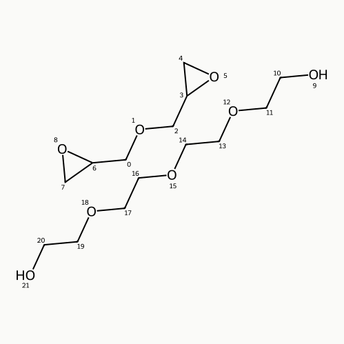 C(OCC1CO1)C1CO1.OCCOCCOCCOCCO